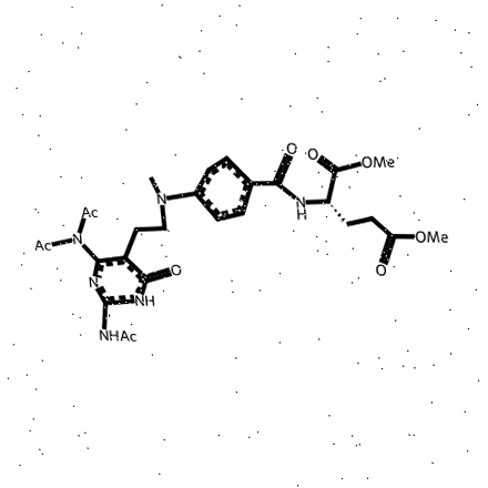 COC(=O)CC[C@H](NC(=O)c1ccc(N(C)CCc2c(N(C(C)=O)C(C)=O)nc(NC(C)=O)[nH]c2=O)cc1)C(=O)OC